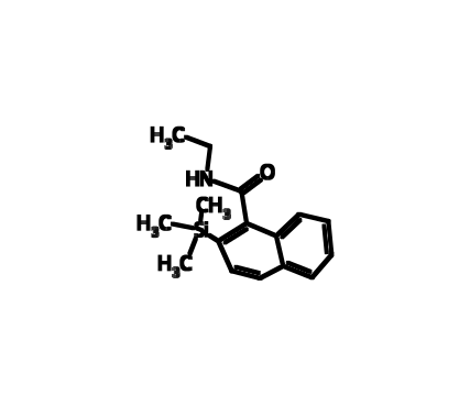 CCNC(=O)c1c([Si](C)(C)C)ccc2ccccc12